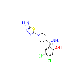 Nc1nnc(N2CCC([C@@H](N)c3cc(Cl)c(Cl)cc3O)CC2)s1